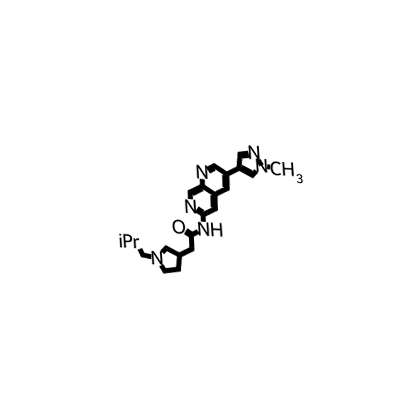 CC(C)CN1CCC(CC(=O)Nc2cc3cc(-c4cnn(C)c4)cnc3cn2)C1